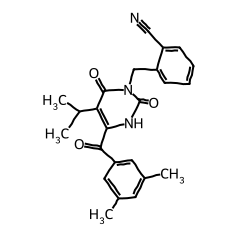 Cc1cc(C)cc(C(=O)c2[nH]c(=O)n(Cc3ccccc3C#N)c(=O)c2C(C)C)c1